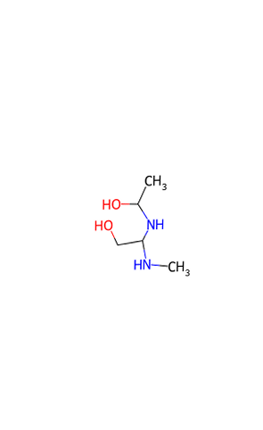 CNC(CO)NC(C)O